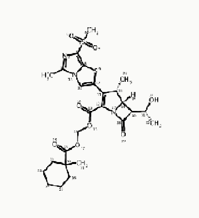 Cc1nc(S(C)(=O)=O)c2sc(C3=C(C(=O)OCOC(=O)C4(C)CCCCC4)N4C(=O)[C@H]([C@@H](C)O)[C@H]4[C@H]3C)cn12